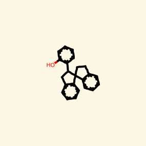 Oc1ccccc1C1Cc2ccccc2C12CCc1ccccc12